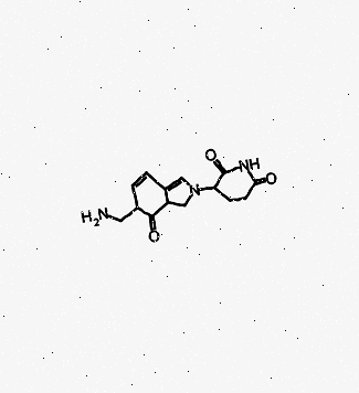 NCC1C=CC2=CN(C3CCC(=O)NC3=O)CC2C1=O